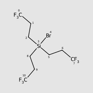 FC(F)(F)CC[Si](Br)(CCC(F)(F)F)CCC(F)(F)F